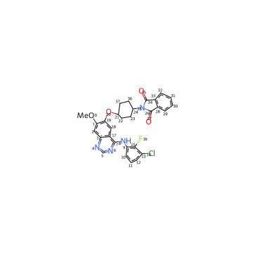 COc1cc2ncnc(Nc3cccc(Cl)c3F)c2cc1OC1CCC(N2C(=O)c3ccccc3C2=O)CC1